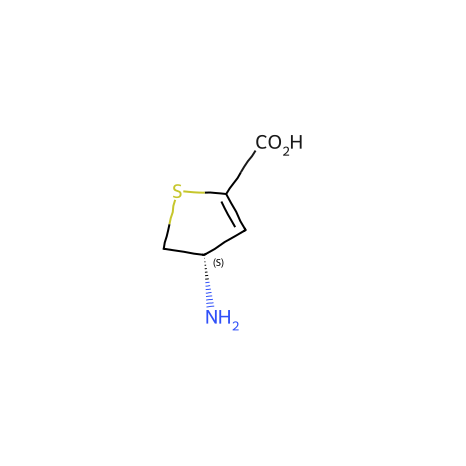 N[C@H]1C=C(C(=O)O)SC1